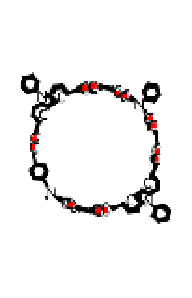 CN1c2ccc(cc2)-c2ccc(cc2)-c2ccc3c(c2)c2cc(ccc2n3-c2ccccc2)-c2ccc(cc2)-c2ccc(cc2)N(c2ccccc2)c2ccc(cc2)-c2ccc(cc2)-c2ccc3c(c2)c2cc(ccc2n3-c2ccccc2)-c2ccc(cc2)-c2ccc1cc2